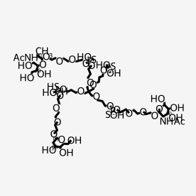 CC(=O)NC1C(OCCOCCOCCOP(O)(=S)OCCCOCC(COCCCOP(O)(O)=S)(COCCCOP(O)(=S)OCCOCCOCCOC(OC(CO)[C@H](O)CO)[C@H](C)NC(C)=O)COCCCO[PH](O)(S)OCCOCCOCCO[C@H]2C[C@@H](O)C(O)C(CO)O2)OC(CO)C(O)[C@@H]1O